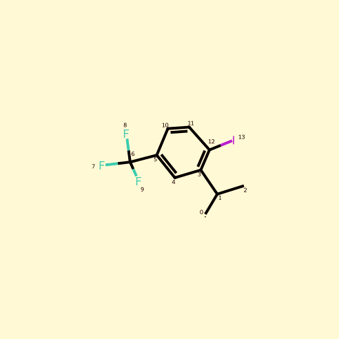 [CH2]C(C)c1cc(C(F)(F)F)ccc1I